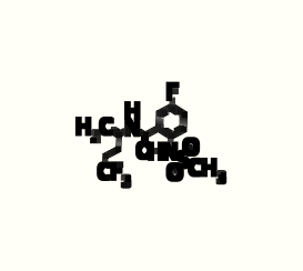 C=C(CCC(F)(F)F)NC(=O)c1cc(F)ccc1NS(C)(=O)=O